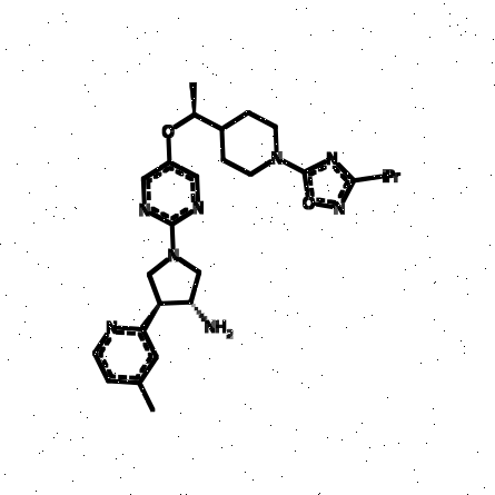 Cc1ccnc([C@H]2CN(c3ncc(O[C@@H](C)C4CCN(c5nc(C(C)C)no5)CC4)cn3)C[C@@H]2N)c1